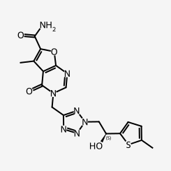 Cc1ccc([C@@H](O)Cn2nnc(Cn3cnc4oc(C(N)=O)c(C)c4c3=O)n2)s1